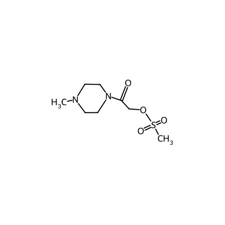 CN1CCN(C(=O)COS(C)(=O)=O)CC1